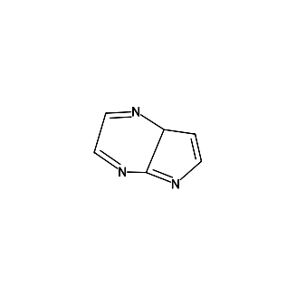 C1=CC2N=CC=NC2=N1